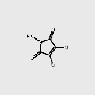 CN1C(=O)C(Cl)=C(Cl)C1=O